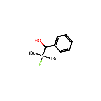 CC(C)(C)[Si](F)(C(O)c1ccccc1)C(C)(C)C